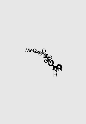 COCCOC(=O)N1CC(S(=O)(=O)N2CCC(c3c[nH]c4ncccc34)CC2)C1